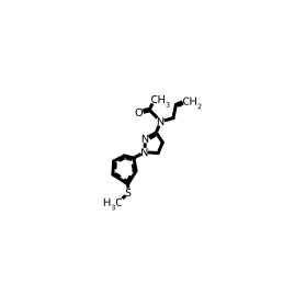 C=CCN(C(C)=O)C1=NN(c2cccc(SC)c2)CC1